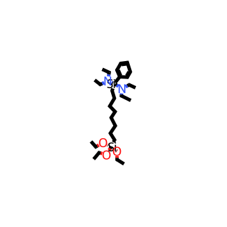 CCO[Si](CCCCCCCC[Si](c1ccccc1)(N(CC)CC)N(CC)CC)(OCC)OCC